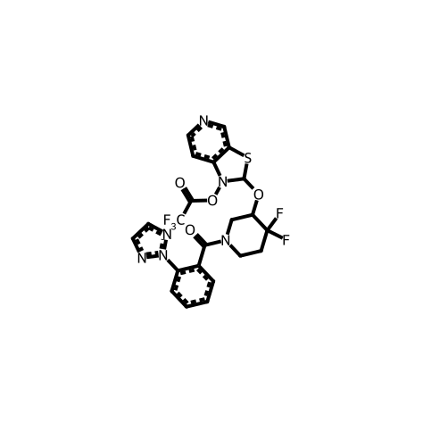 O=C(c1ccccc1-n1nccn1)N1CCC(F)(F)C(OC2Sc3cnccc3N2OC(=O)C(F)(F)F)C1